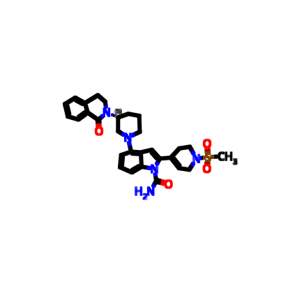 CS(=O)(=O)N1CC=C(c2cc3c(N4CCC[C@@H](N5CCc6ccccc6C5=O)C4)cccc3n2C(N)=O)CC1